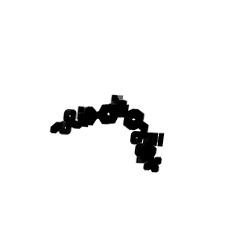 CCOC(=O)Cn1cc(-c2ccc3c(c2)ncn3-c2ccc(CC(=O)Nc3cc(C(C)(C)C)no3)cc2)cn1